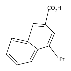 CC(C)c1cc(C(=O)O)cc2ccccc12